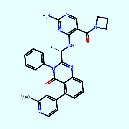 COc1cc(-c2cccc3nc([C@H](C)Nc4nc(N)ncc4C(=O)N4CCC4)n(-c4ccccc4)c(=O)c23)ccn1